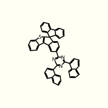 c1ccc2c(c1)-c1ccccc1C21c2ccc(-c3nc(-c4cccc5ccccc45)nc(-c4cccc5ccccc45)n3)cc2-c2c1sc1ccccc21